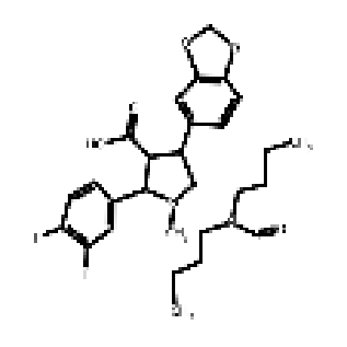 CCCCN(C=O)CCCC.CN1CC(c2ccc3c(c2)OCO3)C(C(=O)O)C1c1ccc(F)c(F)c1